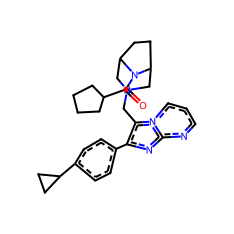 O=C(C1CCCC1)N1C2CCC1CN(Cc1c(-c3ccc(C4CC4)cc3)nc3ncccn13)C2